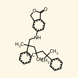 CC(O)(CC(C)(C)c1ccccc1)CC(C)(CNc1ccc2c(c1)COC2=O)c1ccccc1